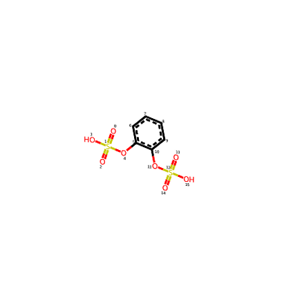 O=S(=O)(O)Oc1[c]cccc1OS(=O)(=O)O